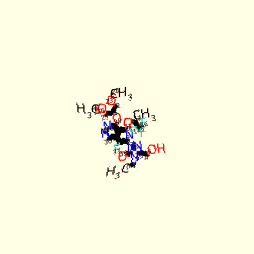 CCn1c(CO)nn(-c2nc(OC(C)C(F)(F)F)c3c(OC(COC)COC)nncc3c2F)c1=O